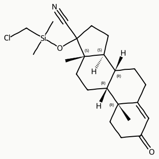 C[C@]12CCC(=O)C=C1CC[C@@H]1[C@H]2CC[C@@]2(C)[C@H]1CCC2(C#N)O[Si](C)(C)CCl